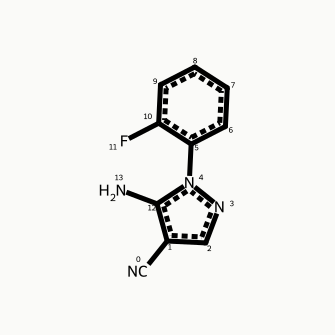 N#Cc1cnn(-c2ccccc2F)c1N